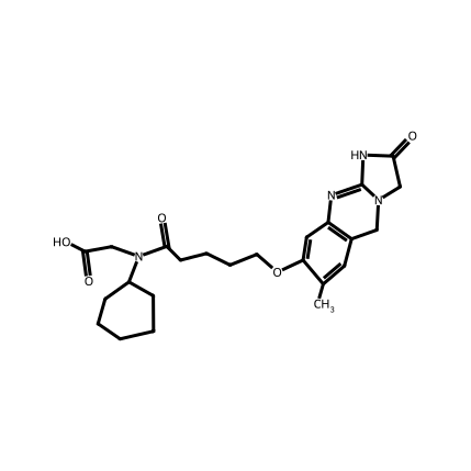 Cc1cc2c(cc1OCCCCC(=O)N(CC(=O)O)C1CCCCC1)N=C1NC(=O)CN1C2